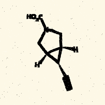 C#C[C@@H]1[C@H]2CN(C(=O)O)C[C@@H]12